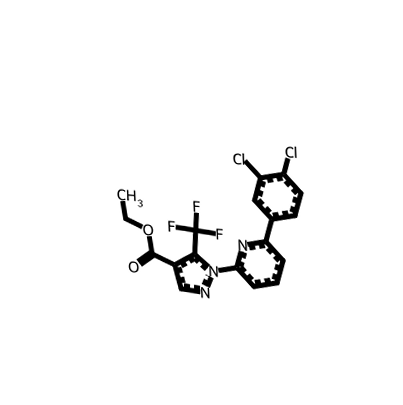 CCOC(=O)c1cnn(-c2cccc(-c3ccc(Cl)c(Cl)c3)n2)c1C(F)(F)F